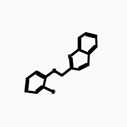 [S]c1ccccc1OCc1ccc2ccccc2n1